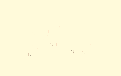 O=C(N[C@H]1CN2CCC1CC2)c1n[nH]c2ccccc12